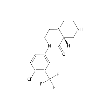 O=C1[C@H]2CNCCN2CCN1c1ccc(Cl)c(C(F)(F)F)c1